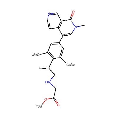 COc1cc(-c2cn(C)c(=O)c3cnccc23)cc(OC)c1C(C)CNCC(=O)OC(C)(C)C